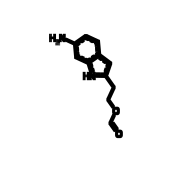 Nc1ccc2cc(CCOC=O)[nH]c2c1